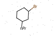 CCCC1CCCC(Br)C1